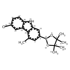 Cc1cc(B2OC(C)(C)C(C)(C)O2)cc2[nH]c3ccc(Cl)cc3c12